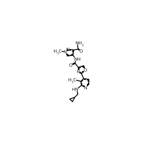 Cc1c(-c2nc(C(=O)Nc3cn(C)nc3C(N)=O)co2)ccnc1NCC1CC1